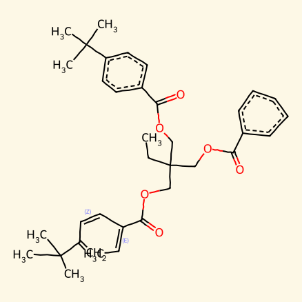 C=C(/C=C\C(=C/C)C(=O)OCC(CC)(COC(=O)c1ccccc1)COC(=O)c1ccc(C(C)(C)C)cc1)C(C)(C)C